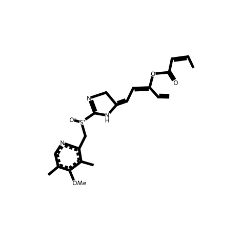 C=C/C(=C\C=C1/CN=C([S+]([O-])Cc2ncc(C)c(OC)c2C)N1)OC(=O)/C=C\C